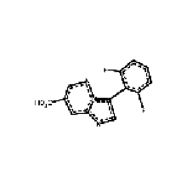 O=C(O)c1cnn2c(-c3c(F)cccc3F)cnc2c1